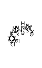 Cc1c(C(=O)Nc2ncc(C=O)s2)nnn1Cc1ccc(Cl)c(Cl)c1